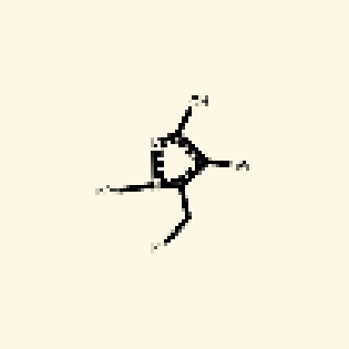 CCCc1c(O)nn(CCC)c1CC(C)C